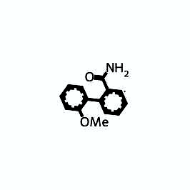 COc1ccccc1-c1ccc[c]c1C(N)=O